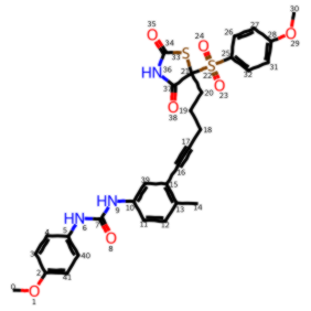 COc1ccc(NC(=O)Nc2ccc(C)c(C#CCCCC3(S(=O)(=O)c4ccc(OC)cc4)SC(=O)NC3=O)c2)cc1